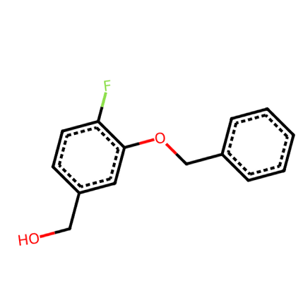 OCc1ccc(F)c(OCc2ccccc2)c1